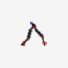 C=CC(=O)OCCCCCCOc1ccc(-c2ccc([C@H]3CC[C@H](CCCOc4ccc(C#N)cc4OCCC[C@H]4CC[C@H](c5ccc(-c6ccc(OCCCCCCOC(=O)C=C)cc6)cc5)CC4)CC3)cc2)cc1